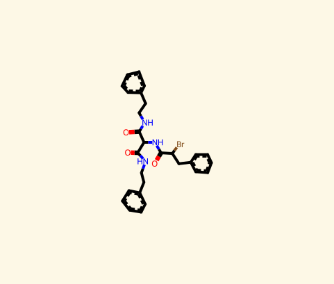 O=C(NC(C(=O)NCCc1ccccc1)C(=O)NCCc1ccccc1)C(Br)Cc1ccccc1